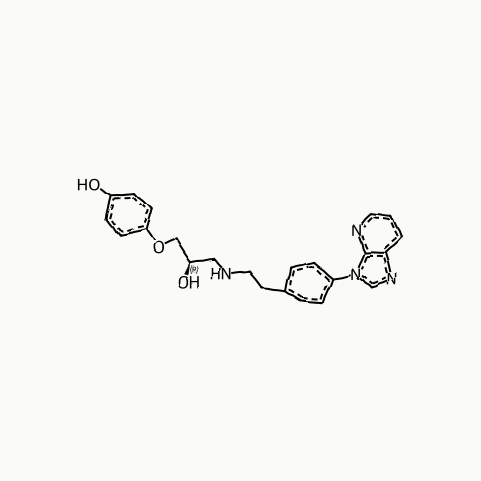 Oc1ccc(OC[C@H](O)CNCCc2ccc(-n3cnc4cccnc43)cc2)cc1